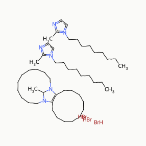 Br.Br.Br.CC1N2CCCCCCCCCCN1C1=C2CCCCCCCCCC1.CCCCCCCCCn1ccnc1C.CCCCCCCCCn1ccnc1C